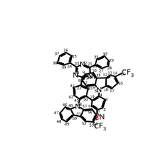 N#Cc1ccc(-n2c3ccccc3c3cc(C(F)(F)F)ccc32)c(-c2cc(-c3nc(-c4ccccc4)nc(-c4ccccc4)n3)ccc2-n2c3ccccc3c3cc(C(F)(F)F)ccc32)c1